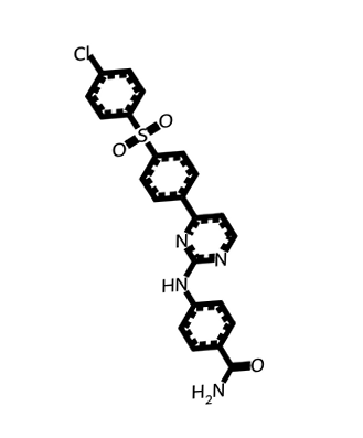 NC(=O)c1ccc(Nc2nccc(-c3ccc(S(=O)(=O)c4ccc(Cl)cc4)cc3)n2)cc1